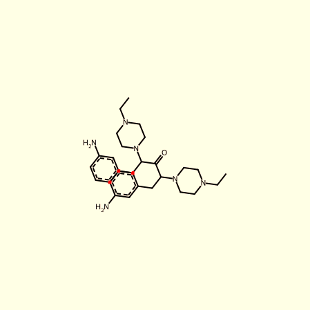 CCN1CCN(C(Cc2cccc(N)c2)C(=O)C(Cc2cccc(N)c2)N2CCN(CC)CC2)CC1